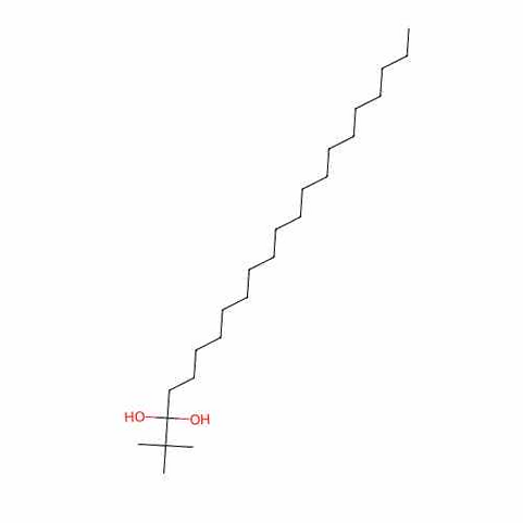 CCCCCCCCCCCCCCCCCCCC(O)(O)C(C)(C)C